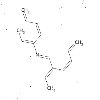 C=C\C=C/C(/C=N/C(/C=C\C=C)=C/C)=C\C